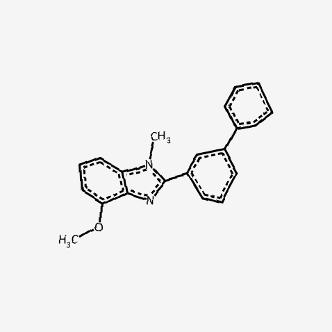 COc1cccc2c1nc(-c1cccc(-c3ccccc3)c1)n2C